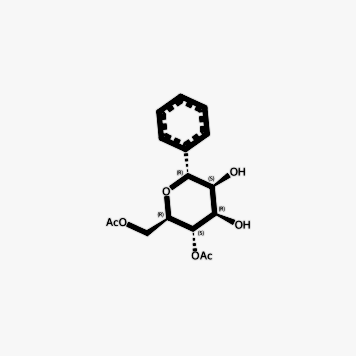 CC(=O)OC[C@H]1O[C@H](c2ccccc2)[C@@H](O)[C@@H](O)[C@@H]1OC(C)=O